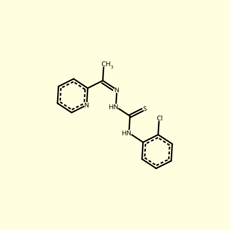 CC(=NNC(=S)Nc1ccccc1Cl)c1ccccn1